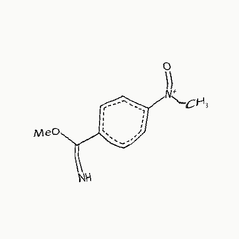 COC(=N)c1ccc([N+](C)=O)cc1